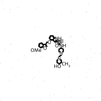 COc1cccc2c(COc3cccc4[nH]c(OC(=O)NC5CCN(CCN6CC[C@H](O)[C@@H](C)C6)CC5)cc34)coc12.Cl.Cl